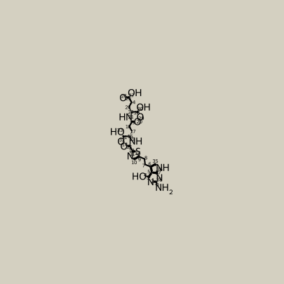 Nc1nc(O)c2c(CCc3cnc(C(=O)N[C@@H](CCC(=O)N[C@@H](CCC(=O)O)C(=O)O)C(=O)O)s3)c[nH]c2n1